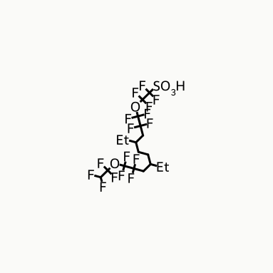 CCC(CCC(CC)CC(F)(F)C(F)(F)OC(F)(F)C(F)(F)S(=O)(=O)O)CC(F)(F)C(F)(F)OC(F)(F)C(F)F